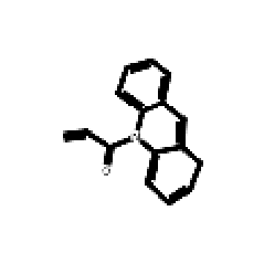 C=CC(=O)N1C2=CC=CCC2=Cc2ccccc21